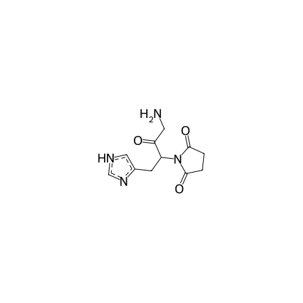 NCC(=O)C(Cc1c[nH]cn1)N1C(=O)CCC1=O